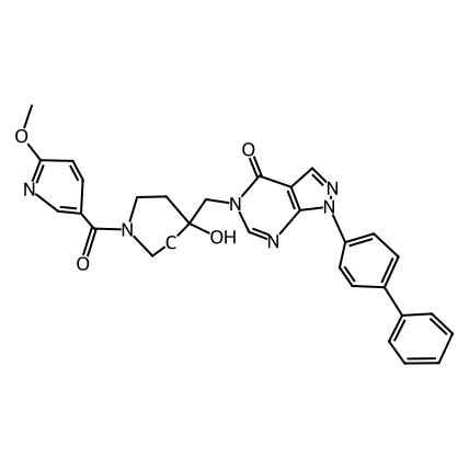 COc1ccc(C(=O)N2CCC(O)(Cn3cnc4c(cnn4-c4ccc(-c5ccccc5)cc4)c3=O)CC2)cn1